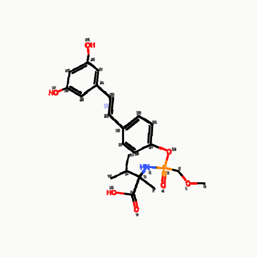 COCP(=O)(NC(C)(C(=O)O)C(C)C)Oc1ccc(/C=C/c2cc(O)cc(O)c2)cc1